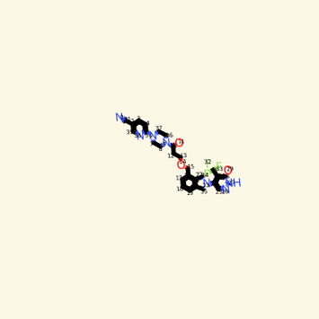 N#Cc1ccc(N2CCN(C(=O)CCOCc3cccc4c3CN(c3cn[nH]c(=O)c3C(F)(F)F)C4)CC2)nc1